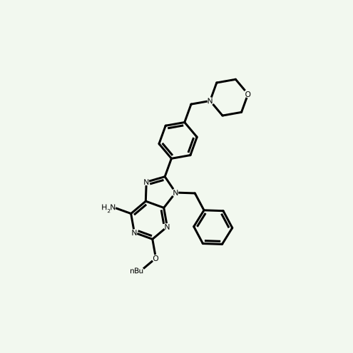 CCCCOc1nc(N)c2nc(-c3ccc(CN4CCOCC4)cc3)n(Cc3ccccc3)c2n1